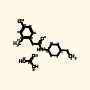 CCC1CCC(NC(=O)Cc2ccc(Cl)cc2C)CC1.O=C(O)O